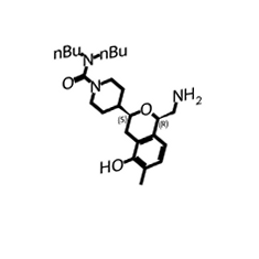 CCCCN(CCCC)C(=O)N1CCC([C@@H]2Cc3c(ccc(C)c3O)[C@H](CN)O2)CC1